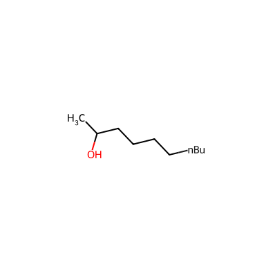 [CH2]CCCCCCCC(C)O